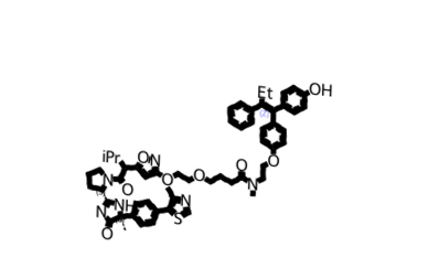 CC/C(=C(\c1ccc(O)cc1)c1ccc(OCCN(C)C(=O)CCCOCCOc2cc(C(C(=O)N3CCC[C@H]3C3=NC(=O)[C@](C)(c4ccc(-c5scnc5C)cc4)N3)C(C)C)on2)cc1)c1ccccc1